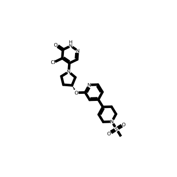 CS(=O)(=O)N1CC=C(c2ccnc(O[C@@H]3CCN(c4cn[nH]c(=O)c4Cl)C3)c2)CC1